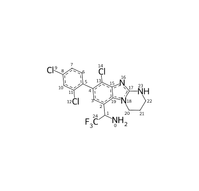 NC(c1cc(-c2ccc(Cl)cc2Cl)c(Cl)c2nc3n(c12)CCCN3)C(F)(F)F